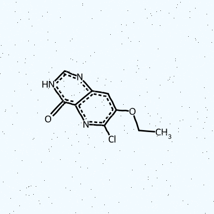 CCOc1cc2nc[nH]c(=O)c2nc1Cl